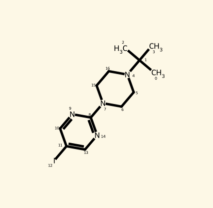 CC(C)(C)N1CCN(c2ncc(I)cn2)CC1